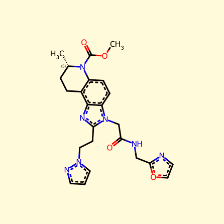 COC(=O)N1c2ccc3c(nc(CCn4cccn4)n3CC(=O)NCc3ncco3)c2CC[C@@H]1C